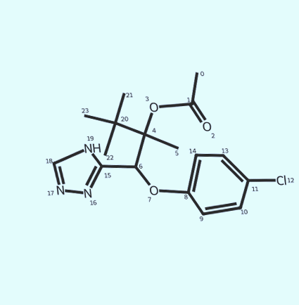 CC(=O)OC(C)(C(Oc1ccc(Cl)cc1)c1nnc[nH]1)C(C)(C)C